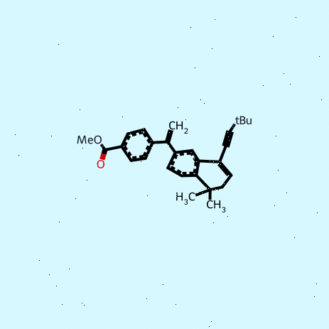 C=C(c1ccc(C(=O)OC)cc1)c1ccc2c(c1)C(C#CC(C)(C)C)=CCC2(C)C